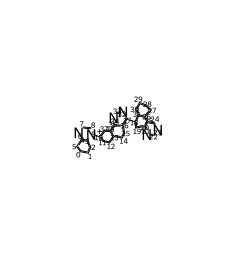 c1ccc2c(c1)ncc[n+]2-c1ccc2ccc3c(-c4cc5ncncc5c5ccccc45)ncnc3c2c1